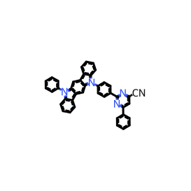 N#Cc1cc(-c2ccccc2)nc(-c2ccc(-n3c4ccccc4c4cc5c(cc43)c3ccccc3n5-c3ccccc3)cc2)n1